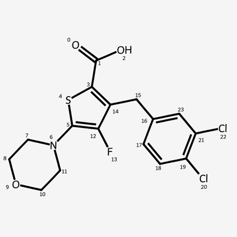 O=C(O)c1sc(N2CCOCC2)c(F)c1Cc1ccc(Cl)c(Cl)c1